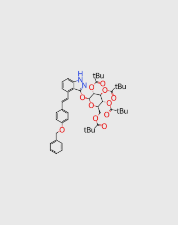 CC(C)(C)C(=O)OC[C@H]1O[C@@H](Oc2n[nH]c3cccc(/C=C/c4ccc(OCc5ccccc5)cc4)c23)[C@H](OC(=O)C(C)(C)C)[C@@H](OC(=O)C(C)(C)C)[C@@H]1OC(=O)C(C)(C)C